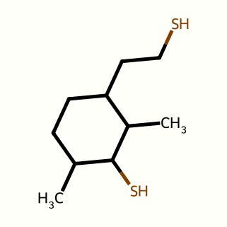 CC1CCC(CCS)C(C)C1S